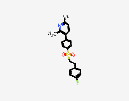 Cc1ccc(-c2ccc(S(=O)(=O)CCc3ccc(F)cc3)cc2)c(C)n1